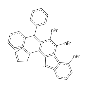 CCCc1c(CCC)c2c(c(C3=CC=CC3)c1=C(c1ccccc1)c1ccccc1)[C]=c1cccc(CCC)c1=2